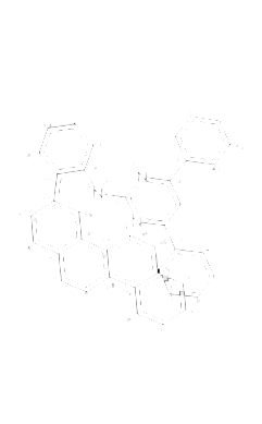 c1ccc(-c2cc(-c3ccccc3)nc(-n3c4ccccc4c4ccc5ccc6c7ccccc7ccc6c5c43)n2)cc1